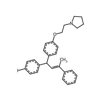 CC(=CC(c1ccc(I)cc1)c1ccc(OCCN2CCCC2)cc1)c1ccccc1